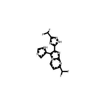 FC(F)c1ccn2c(-c3cnc[nH]3)c(-c3nc(C(F)F)n[nH]3)nc2n1